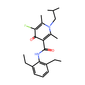 CCc1cccc(CC)c1NC(=O)c1c(C)n(CC(C)C)c(C)c(F)c1=O